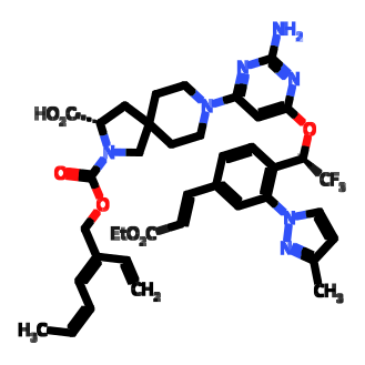 C=C/C(=C\C=C/C)COC(=O)N1CC2(CCN(c3cc(O[C@H](c4ccc(/C=C/C(=O)OCC)cc4-n4ccc(C)n4)C(F)(F)F)nc(N)n3)CC2)C[C@H]1C(=O)O